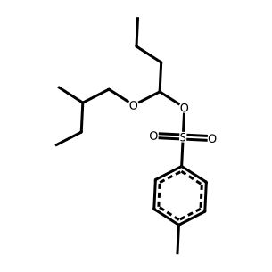 CCCC(OCC(C)CC)OS(=O)(=O)c1ccc(C)cc1